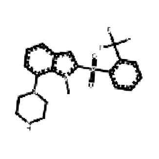 Cn1c(S(=O)(=O)c2ccccc2C(F)(F)F)cc2cccc(N3CCNCC3)c21